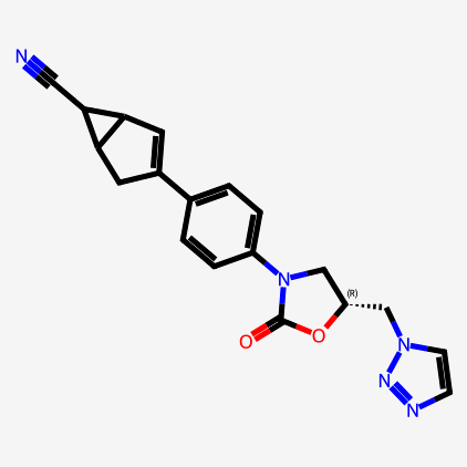 N#CC1C2C=C(c3ccc(N4C[C@H](Cn5ccnn5)OC4=O)cc3)CC12